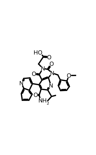 COc1ccccc1Cn1c(=O)n(CC(=O)O)c(=O)c2c(-c3ccnc4ccccc34)c(C(N)=O)c(C(C)C)nc21